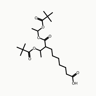 CC(OC(=O)C(CCCCCCC(=O)O)C(C)OC(=O)C(C)(C)C)OC(=O)C(C)(C)C